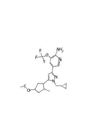 CSOC1CC(C)C(c2cc(-c3cnc(N)c(OC(F)(F)F)c3)nn2CC2CC2)C1